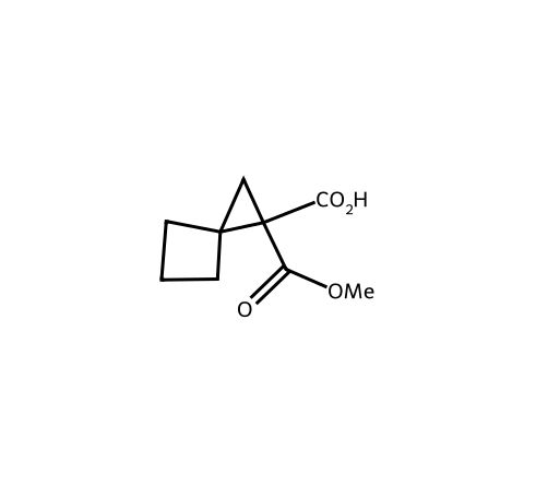 COC(=O)C1(C(=O)O)CC12CCC2